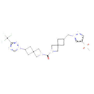 CS(=O)(=O)c1cnn(CC2CC3(C2)CN(C(=O)N2CC4(CC(n5cnc(C(F)(F)F)n5)C4)C2)C3)c1